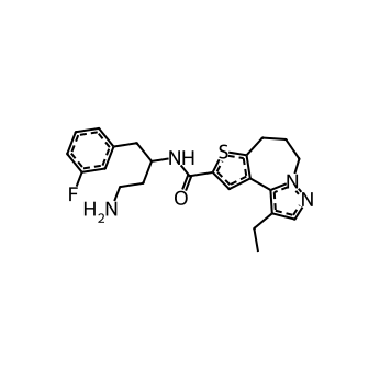 CCc1cnn2c1-c1cc(C(=O)NC(CCN)Cc3cccc(F)c3)sc1CCC2